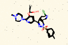 CCC(O)Oc1cc(-c2nn(S(=O)(=O)c3ccc(C)cc3)c3cnc(Br)cc23)cnc1N1CCN(C)CC1